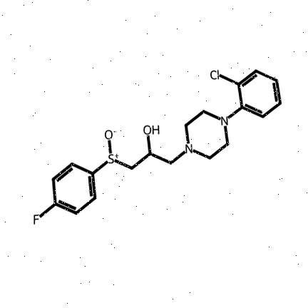 [O-][S+](CC(O)CN1CCN(c2ccccc2Cl)CC1)c1ccc(F)cc1